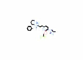 Cc1cn(-c2ccc(/C=C/c3nc4n(n3)CCC[C@@H]4c3ccccc3C(F)(F)F)nc2OCC(F)F)cn1